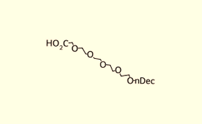 CCCCCCCCCCOCCOCCOCCOCCOCC(=O)O